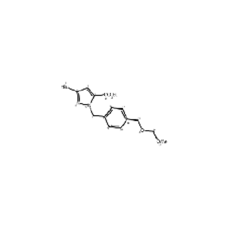 CCOC(=O)c1cc(C(C)(C)C)nn1Cc1ccc(COCOC)cc1